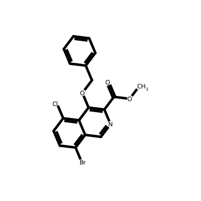 COC(=O)c1ncc2c(Br)ccc(Cl)c2c1OCc1ccccc1